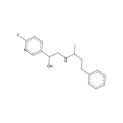 CC(CCc1ccccc1)NCC(O)c1ccc(F)nc1